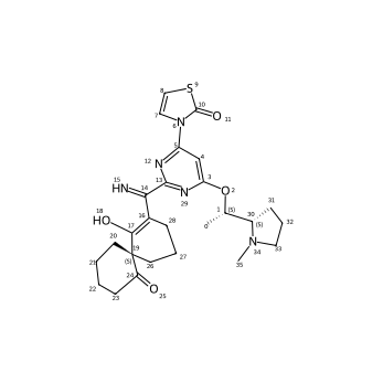 C[C@H](Oc1cc(-n2ccsc2=O)nc(C(=N)C2=C(O)[C@]3(CCCCC3=O)CCC2)n1)[C@@H]1CCCN1C